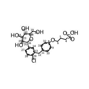 O=S(=O)(O)CCCOc1ccc(Cc2cc([C@@H]3O[C@H](CO)[C@@H](O)[C@H](O)[C@H]3O)ccc2Cl)cc1